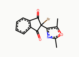 Cc1nc(C2(Br)C(=O)c3ccccc3C2=O)c(C)o1